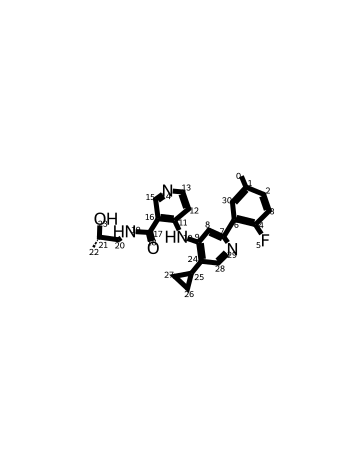 Cc1ccc(F)c(-c2cc(Nc3ccncc3C(=O)NC[C@H](C)O)c(C3CC3)cn2)c1